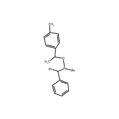 Cc1ccc(C(C)ON(C(c2ccccc2)C(C)C)C(C)(C)C)cc1